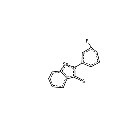 Fc1cccc(-n2[se]c3ccccc3c2=S)c1